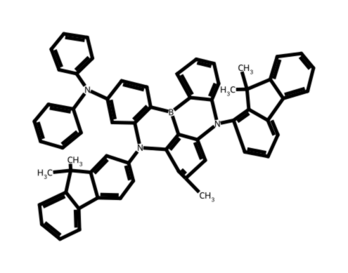 Cc1cc2c3c(c1)N(c1cccc4c1C(C)(C)c1ccccc1-4)c1ccccc1B3c1ccc(N(c3ccccc3)c3ccccc3)cc1N2c1ccc2c(c1)C(C)(C)c1ccccc1-2